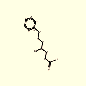 O=C(I)CCC(O)CCCc1ccccc1